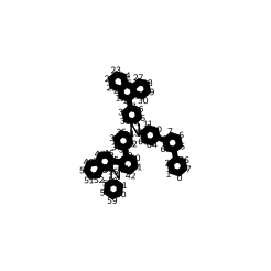 c1ccc(-c2cccc(-c3ccc(N(c4ccc(-c5cc6ccccc6c6ccccc56)cc4)c4cccc(-c5cccc6c5c5ccc7ccccc7c5n6-c5ccccc5)c4)cc3)c2)cc1